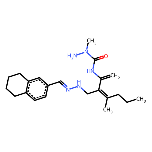 C=C(NC(=O)N(C)N)/C(CNN=Cc1ccc2c(c1)CCCC2)=C(/C)CCC